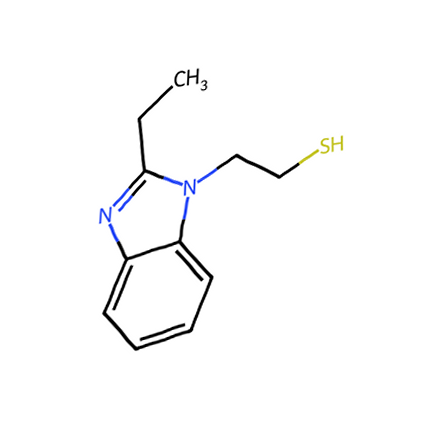 CCc1nc2ccccc2n1CCS